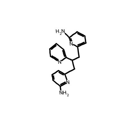 Nc1cccc(C[C](Cc2cccc(N)n2)c2ccccn2)n1